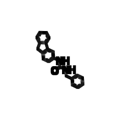 O=C(NCc1ccccc1)Nc1ccc2c(c1)-c1ccccc1C2